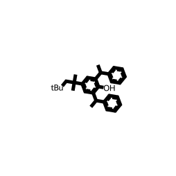 CC(c1ccccc1)c1cc(C(C)(C)CC(C)(C)C)cc(C(C)c2ccccc2)c1O